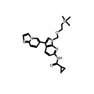 C[Si](C)(C)CCOCn1cc(-c2ccc3nccn3c2)c2ccc(NC(=O)C3CC3)nc21